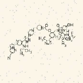 Cc1ncsc1-c1ccc(CNC(=O)[C@@H]2C[C@@H](O)CN2C(=O)[C@@H](NC(=O)C2(F)CC2)C(C)(C)C)c(OCC(=O)N2CCC(CN3CCN(c4nnc(-c5cnc(-c6ccc7cc(C#N)cnn67)cc5NC(C)C)s4)CC3)CC2)c1